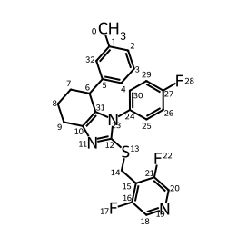 Cc1cccc(C2CCCc3nc(SCc4c(F)cncc4F)n(-c4ccc(F)cc4)c32)c1